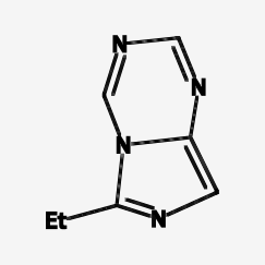 CCc1ncc2ncncn12